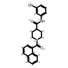 O=Nc1cccc(NC(=O)C2CCN(C(=O)c3cccc4ccccc34)CC2)c1